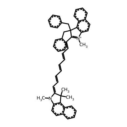 CN1/C(=C/C=C/C=C/C=C/C=C/C2=[N+](C)c3ccc4ccccc4c3C2(Cc2ccccc2)Cc2ccccc2)C(C)(C)c2c1ccc1ccccc21